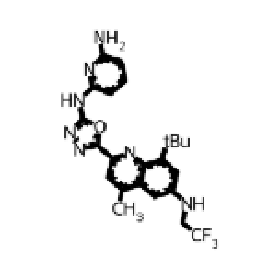 Cc1cc(-c2nnc(Nc3cccc(N)n3)o2)nc2c(C(C)(C)C)cc(NCC(F)(F)F)cc12